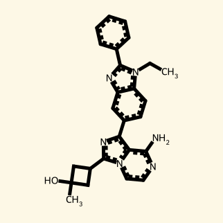 CCn1c(-c2ccccc2)nc2cc(-c3nc(C4CC(C)(O)C4)n4ccnc(N)c34)ccc21